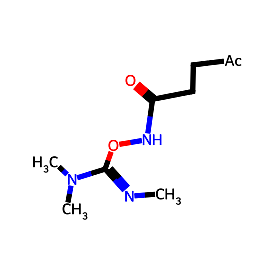 C/N=C(\ONC(=O)CCC(C)=O)N(C)C